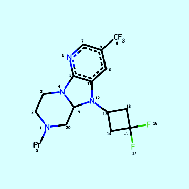 CC(C)N1CCN2c3ncc(C(F)(F)F)cc3N(C3CC(F)(F)C3)C2C1